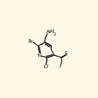 Nc1cc(C(F)F)c(Cl)nc1Br